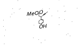 CC#CC(CC(=O)OC)C1=CC=C(O)CC1